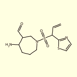 C=CC(c1nccs1)S(=O)(=O)N1CCCC(N)C(C=O)C1